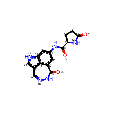 O=C1CC[C@H](C(=O)Nc2cc3c4c(c[nH]c4c2)C=NNC3=O)N1